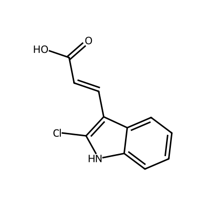 O=C(O)C=Cc1c(Cl)[nH]c2ccccc12